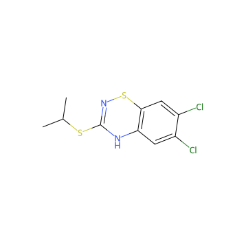 CC(C)SC1=NSc2cc(Cl)c(Cl)cc2N1